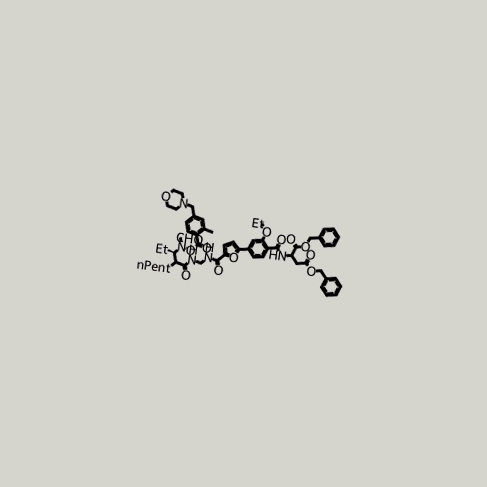 CCCCCC(C(=O)NCNC(=O)c1ccc(-c2ccc(C(=O)NC(CC(=O)OCc3ccccc3)C(=O)OCc3ccccc3)c(OCC)c2)o1)[C@@H](CC)N(C=O)OC(=O)c1ccc(CN2CCOCC2)cc1C